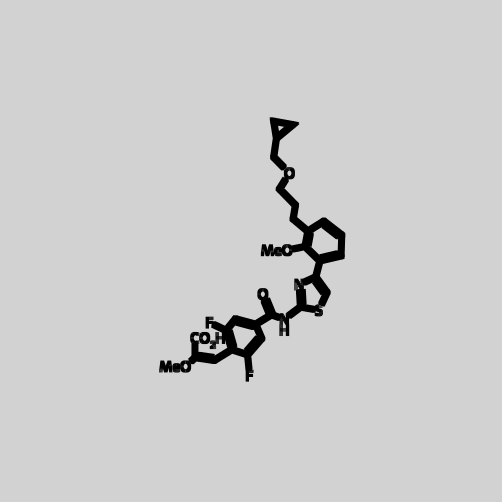 CO/C(=C/c1c(F)cc(C(=O)Nc2nc(-c3cccc(CCCOCC4CC4)c3OC)cs2)cc1F)C(=O)O